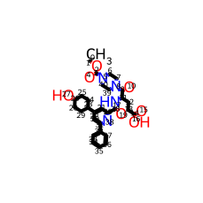 CCOC(=O)N1CCN(C(=O)C(CCC(=O)O)NC(=O)c2cc(C3CCC(O)CC3)cc(-c3ccccc3)n2)CC1